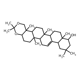 CC1(C)CC(O)C2(C)CCC3C(=CCC4C3(C)CCC3C5(C)COC(C)(C)OC5CCC34C)C2C1